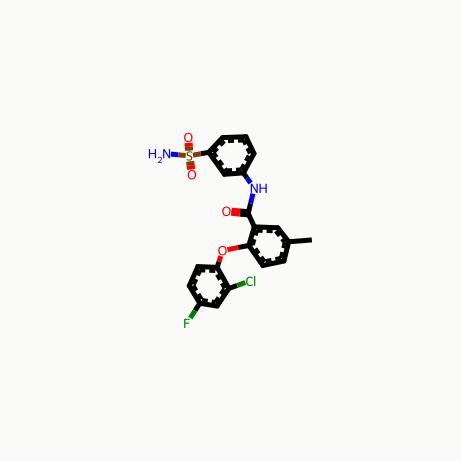 Cc1ccc(Oc2ccc(F)cc2Cl)c(C(=O)Nc2cccc(S(N)(=O)=O)c2)c1